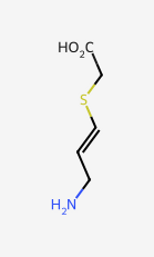 NCC=CSCC(=O)O